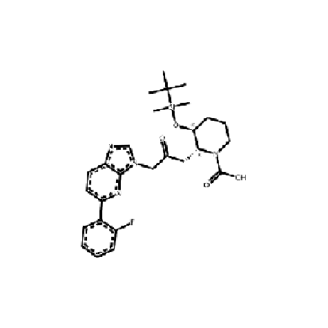 CC(C)(C)[Si](C)(C)O[C@H]1CCCN(C(=O)O)[C@@H]1CC(=O)Cn1cnc2ccc(-c3ccccc3F)nc21